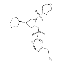 NCc1ccnc(S(=O)(=O)C[C@@H]2C[C@@H](C3CCCCC3)CN2S(=O)(=O)N2CCOCC2)c1